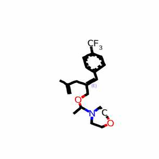 C=C(C)C/C(=C\c1ccc(C(F)(F)F)cc1)COC(C)N1CCOCC1